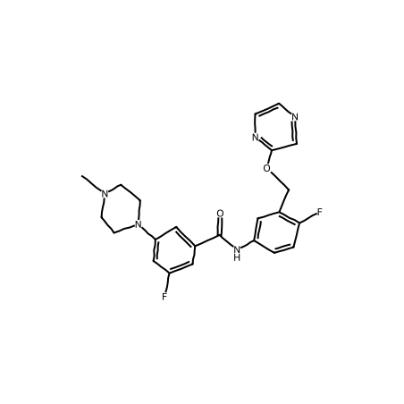 CN1CCN(c2cc(F)cc(C(=O)Nc3ccc(F)c(COc4cnccn4)c3)c2)CC1